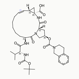 CC(C)[C@@H](NC(=O)OC(C)(C)C)C(=O)N[C@H]1CCCCC/C=C\[C@@H]2C[C@@]2(C(=O)O)NC(=O)[C@@H]2C[C@@H](OC(=O)N3CCc4ccccc4C3)CN2C1=O